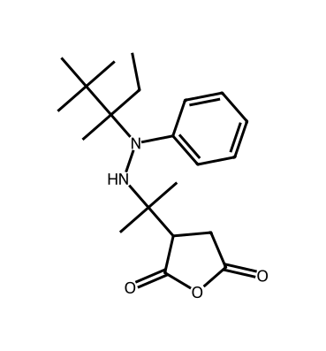 CCC(C)(N(NC(C)(C)C1CC(=O)OC1=O)c1ccccc1)C(C)(C)C